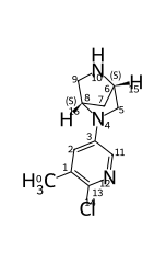 Cc1cc(N2C[C@@H]3C[C@H]2CN3)cnc1Cl